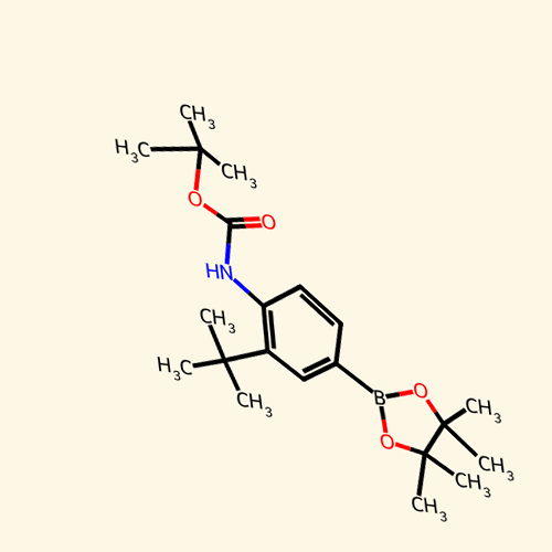 CC(C)(C)OC(=O)Nc1ccc(B2OC(C)(C)C(C)(C)O2)cc1C(C)(C)C